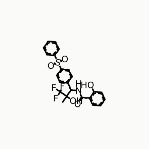 CC(O)(C(NC(=O)c1ccccc1O)c1ccc(S(=O)(=O)c2ccccc2)cc1)C(F)(F)F